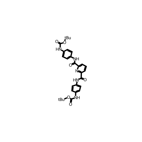 CC(C)(C)OC(=O)Nc1ccc(NC(=O)c2cccc(C(=O)Nc3ccc(NC(=O)OC(C)(C)C)cc3)n2)cc1